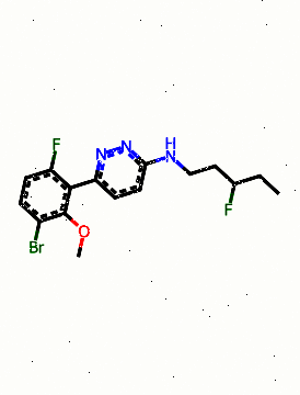 CCC(F)CCNc1ccc(-c2c(F)ccc(Br)c2OC)nn1